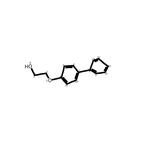 OCCOc1ccc(-c2ccccc2)cc1